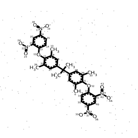 Cc1cc(C(C)(C)c2cc(C)c(Oc3ccc([N+](=O)[O-])cc3[N+](=O)[O-])c(C)c2)cc(C)c1Oc1ccc([N+](=O)[O-])cc1[N+](=O)[O-]